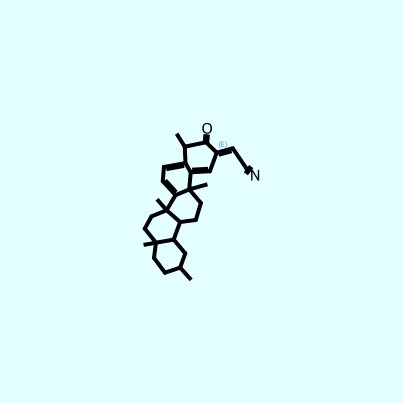 CC1CCC2(C)CCC3(C)C4=CC=C5C(=C/C(=C\C#N)C(=O)C5C)C4(C)CCC3C2C1